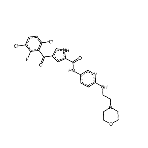 O=C(Nc1ccc(NCCN2CCOCC2)nc1)c1cc(C(=O)c2c(Cl)ccc(Cl)c2F)c[nH]1